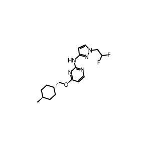 C[C@H]1CC[C@H](COc2ccnc(Nc3ccn(CC(F)F)n3)n2)CC1